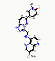 COc1cnc2c(NCc3nnc4ccc(-c5ccc(=O)n(C)c5)nn34)ccnc2c1